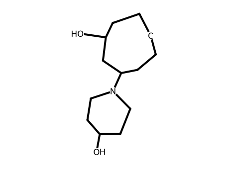 OC1CCN(C2CCCCCC(O)C2)CC1